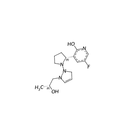 C[C@@H](O)CN1C=CCN1N1CCC[C@@H]1c1cc(F)cnc1O